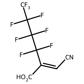 N#CC=C(C(=O)O)C(F)(F)C(F)(F)C(F)(F)C(F)(F)F